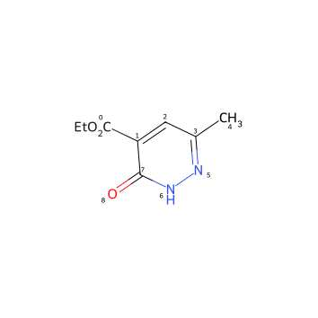 CCOC(=O)c1cc(C)n[nH]c1=O